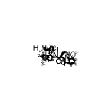 COc1cccc(F)c1-n1nccc(C(=O)Nc2ccc3c(nc(C)n3C)c2N2CCC/C2=C\N)c1=O